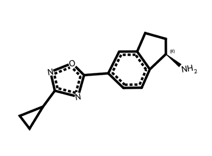 N[C@@H]1CCc2cc(-c3nc(C4CC4)no3)ccc21